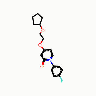 O=c1cc(OCCOC2CCCC2)ccn1-c1ccc(F)cc1